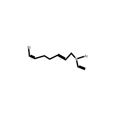 C=CN(C/C=C/CC/C=C\CC)C(C)=O